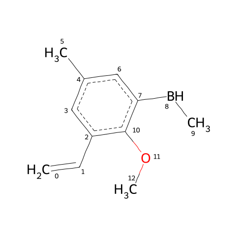 C=Cc1cc(C)cc(BC)c1OC